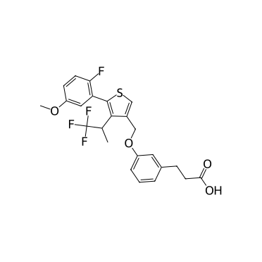 COc1ccc(F)c(-c2scc(COc3cccc(CCC(=O)O)c3)c2C(C)C(F)(F)F)c1